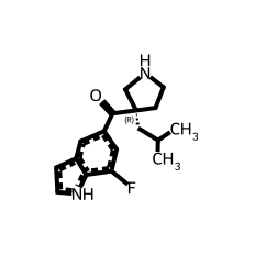 CC(C)C[C@@]1(C(=O)c2cc(F)c3[nH]ccc3c2)CCNC1